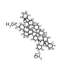 CCCc1ccc(N(c2ccc3c(c2)C(c2ccccc2)(c2ccccc2)c2cc(N(c4ccc(CCC)cc4)c4cccc5c4oc4ccccc45)c4ccccc4c2-3)c2cccc3c2oc2ccccc23)cc1